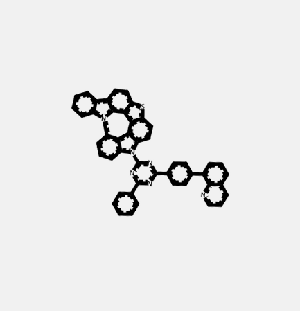 c1ccc(-c2nc(-c3ccc(-c4cccc5cccnc45)cc3)nc(-n3c4ccc5sc6ccc7c8ccccc8n8c9cccc3c9c4c5c6c78)n2)cc1